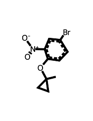 CC1(Oc2ccc(Br)cc2[N+](=O)[O-])CC1